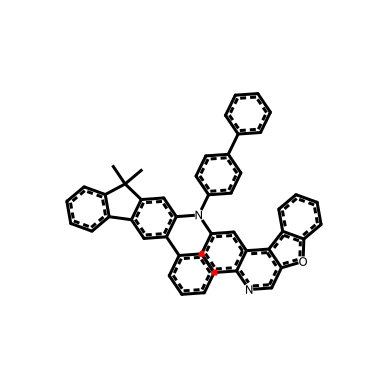 CC1(C)c2ccccc2-c2cc(-c3ccccc3)c(N(c3ccc(-c4ccccc4)cc3)c3ccc4ncc5oc6ccccc6c5c4c3)cc21